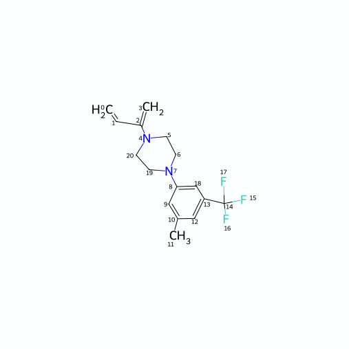 C=CC(=C)N1CCN(c2cc(C)cc(C(F)(F)F)c2)CC1